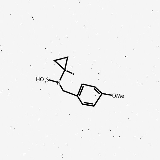 COc1ccc(CN(C2(C)CC2)S(=O)(=O)O)cc1